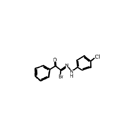 O=C(/C(Br)=N/Nc1ccc(Cl)cc1)c1ccccc1